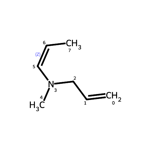 C=CCN(C)/C=C\C